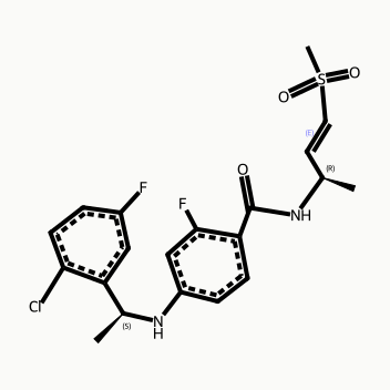 C[C@H](/C=C/S(C)(=O)=O)NC(=O)c1ccc(N[C@@H](C)c2cc(F)ccc2Cl)cc1F